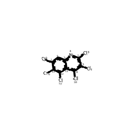 Clc1cc2nc(Cl)c(Cl)c(Cl)c2c(Cl)c1Cl